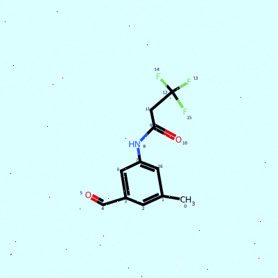 Cc1cc(C=O)cc(NC(=O)CC(F)(F)F)c1